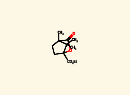 CCOC(=O)C12CCC(C)(C(=O)O1)C2(C)C